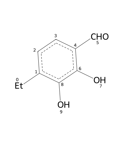 CCc1ccc(C=O)c(O)c1O